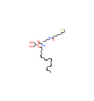 CC/C=C\C/C=C\C/C=C\C/C=C\C/C=C\CCCC(=O)N[C@@H](CCCCNC(=O)CCCC[C@@H]1CCSS1)C(=O)OC(CO)CO